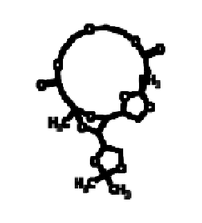 CC1(C)OCC(C2OC3(C)CC(=O)OCCOCCOC(=O)CC4(C)OCC(O4)C2O3)O1